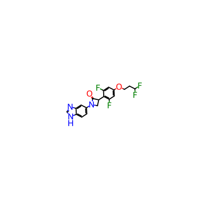 O=C1C(c2c(F)cc(OCCC(F)F)cc2F)CN1c1ccc2[nH]cnc2c1